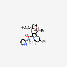 CC(C)c1ccn2c(C(=O)N(C)c3ccccn3)c(CC(C)(C)C(=O)O)c(C(=O)C(C)(C)C)c2c1